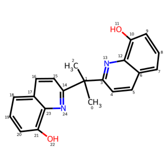 CC(C)(c1ccc2cccc(O)c2n1)c1ccc2cccc(O)c2n1